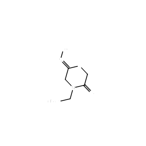 CCCCCCN1CC(=NO)SCC1=O